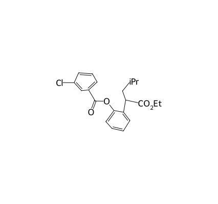 CCOC(=O)C(CC(C)C)c1ccccc1OC(=O)c1cccc(Cl)c1